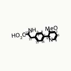 COc1cccnc1-c1ccc(C[C@H](N)C(=O)O)cc1